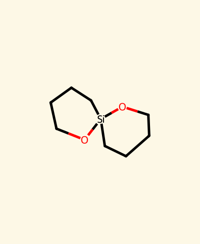 C1CC[Si]2(CCCCO2)OC1